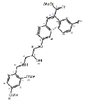 COC(=O)/C(=C/c1ccc(OCC(O)CNCc2ccc(OC)cc2OC)cc1)c1cccc(F)c1